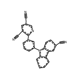 N#Cc1cnc(-c2cccc(-n3c4ccccc4c4cc(C#N)ccc43)c2)c(C#N)c1